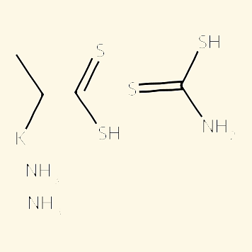 C[CH2][K].N.N.NC(=S)S.S=CS